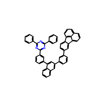 c1ccc(-c2nc(-c3ccccc3)nc(-c3cccc(-c4cc(-c5cccc(-c6ccc7c(c6)-c6cccc8cccc-7c68)c5)cc5ccccc45)c3)n2)cc1